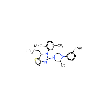 CCC1CN(C2=Nc3ccsc3C(CC(=O)O)N2c2cc(C(F)(F)F)ccc2OC)CCN1c1cccc(OC)c1